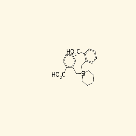 O=C(O)c1ccccc1C[Si]1(Cc2ccccc2C(=O)O)CCCCC1